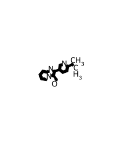 CC(C)c1ccc(-c2nc3ccccn3c2C=O)cn1